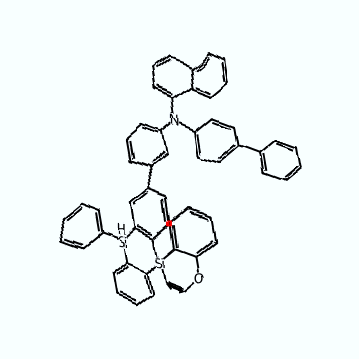 c1ccc(-c2ccc(N(c3cccc(-c4ccc5c(c4)[SiH](c4ccccc4)c4ccccc4[Si]54c5ccccc5Oc5ccccc54)c3)c3cccc4ccccc34)cc2)cc1